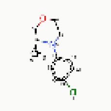 C[C@H]1COCCN1c1ccc(Cl)cc1